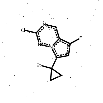 CCC1(c2cc(F)c3cnc(Cl)nn23)CC1